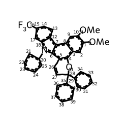 COc1cc2c3c(c4c(c2cc1OC)c1ccc(C(F)(F)F)cc1n4-c1ccccc1)C=CC(c1ccccc1)(c1ccccc1)O3